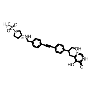 CS(=O)(=O)N1CC[C@@H](NCc2ccc(C#Cc3ccc(C(CO)Cc4nc[nH]c(=O)c4O)cc3)cc2)C1